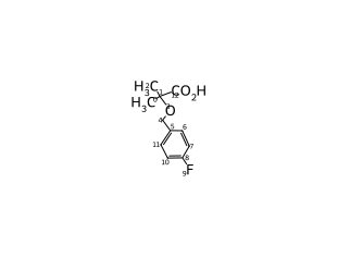 CC(C)(OCc1ccc(F)cc1)C(=O)O